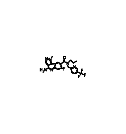 CCCN(Cc1ccc(C(F)(F)F)cn1)C(=O)c1cc2c(cc1F)nc(N)c1cnn(C)c12